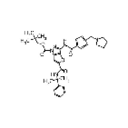 CC(C)(C)COC(=O)n1nc(NC(=O)c2ccc(CN3CCCC3)cc2)c2oc(C(=O)NC(C)(C)c3ccccc3)cc21